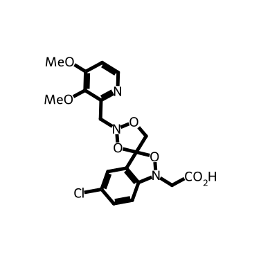 COc1ccnc(CN2OCC3(O2)ON(CC(=O)O)c2ccc(Cl)cc23)c1OC